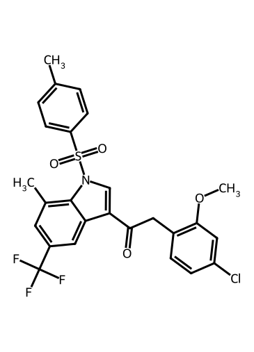 COc1cc(Cl)ccc1CC(=O)c1cn(S(=O)(=O)c2ccc(C)cc2)c2c(C)cc(C(F)(F)F)cc12